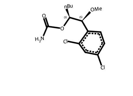 CCCC[C@H](OC(N)=O)[C@@H](OC)c1ccc(Cl)cc1Cl